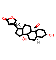 C[C@]12CCC3C(CC[C@@H]4C[C@@H](O)CC[C@]34C=O)[C@@]1(O)CCC2C1=CC(=O)OC1